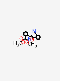 COC=C(C(=O)OC)c1ccccc1-c1cc(-c2ccccc2C#N)on1